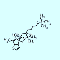 CC1=C(C)C2(CN(C(C)(C)C)[Si]2(C)CCCCCCOC(C)(C)C)c2ccsc21